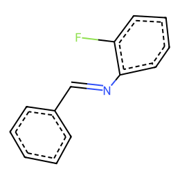 Fc1ccccc1N=Cc1ccccc1